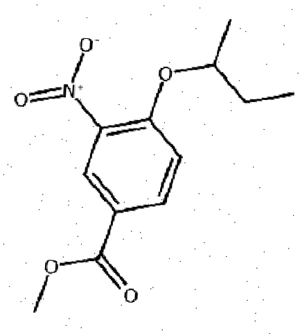 CCC(C)Oc1ccc(C(=O)OC)cc1[N+](=O)[O-]